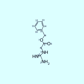 N=C(N)N[CH]C(=O)OCc1ccccc1